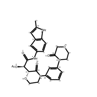 CC(=O)O[C@@H](C(=O)Nc1ccc2[nH]c(C)cc2c1)[C@H]1OCCN(c2cccc(N3CCOCC3=O)c2)C1=O